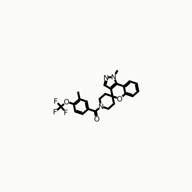 Cc1cc(C(=O)N2CCC3(CC2)Oc2ccccc2-c2c3cnn2C)ccc1OC(F)(F)F